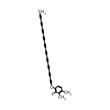 CC#CC#CC#CC#CC#CC#CC#CC#CC#CC#COc1ccc(C)c(C)c1F